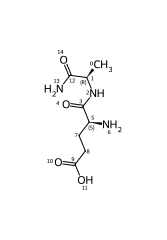 C[C@@H](NC(=O)[C@@H](N)CCC(=O)O)C(N)=O